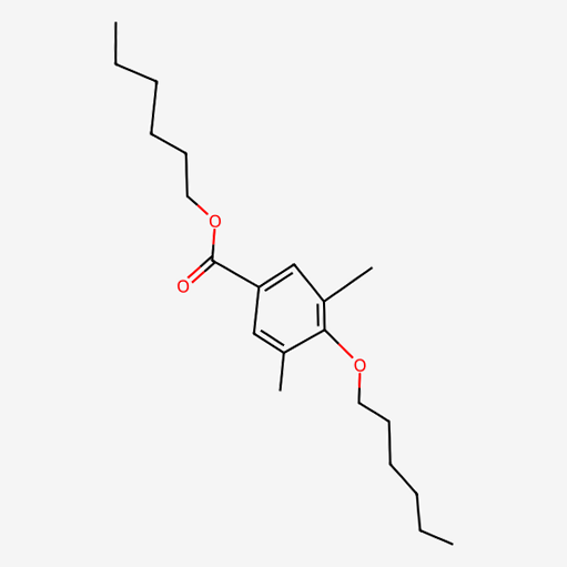 CCCCCCOC(=O)c1cc(C)c(OCCCCCC)c(C)c1